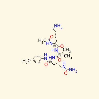 [CH2]c1ccc(NC(=O)[C@H](CCCNC(N)=O)NC(=O)[C@@H](NC(=O)[C@H](CCCCN)NC(C)=O)C(C)C)cc1